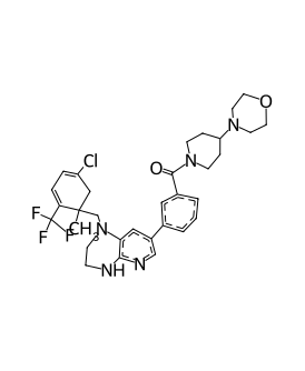 CC1(CN2CCNc3ncc(-c4cccc(C(=O)N5CCC(N6CCOCC6)CC5)c4)cc32)CC(Cl)=CC=C1C(F)(F)F